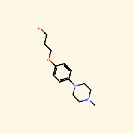 CN1CCN(c2ccc(OCCCBr)cc2)CC1